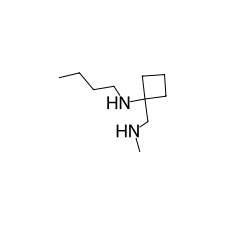 CCCCNC1(CNC)CCC1